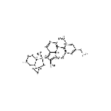 COCc1cc(OC)c(-c2cccc3c([N+](C)(CC4CC4)C4CCOCC4)c(SC)nn23)c(OC)c1